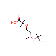 CCC(C)(CC)OC(C)CCOC(C)(C)C(=O)O